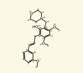 COc1cccc(/C=C/Cc2c(OC)cc(OC)c(CN3CCOCC3)c2O)c1